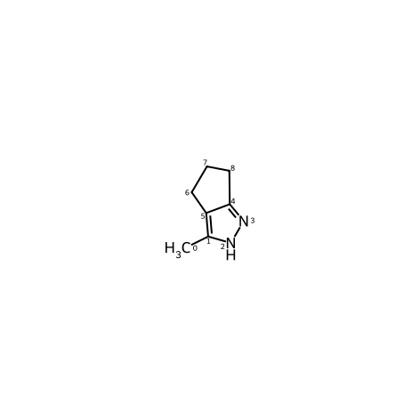 Cc1[nH]nc2c1CCC2